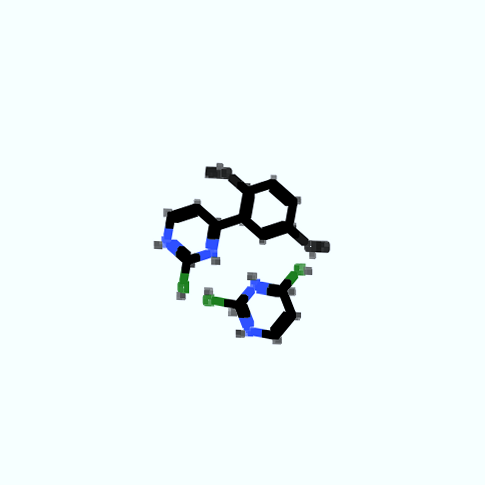 COc1ccc(C=O)cc1-c1ccnc(Cl)n1.Clc1ccnc(Cl)n1